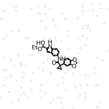 CCOC(O)c1cc2cc(NC(=O)C3(c4ccc5c(c4)OCO5)CC3)ccc2[nH]1